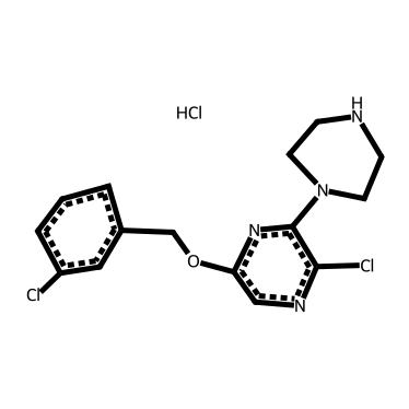 Cl.Clc1cccc(COc2cnc(Cl)c(N3CCNCC3)n2)c1